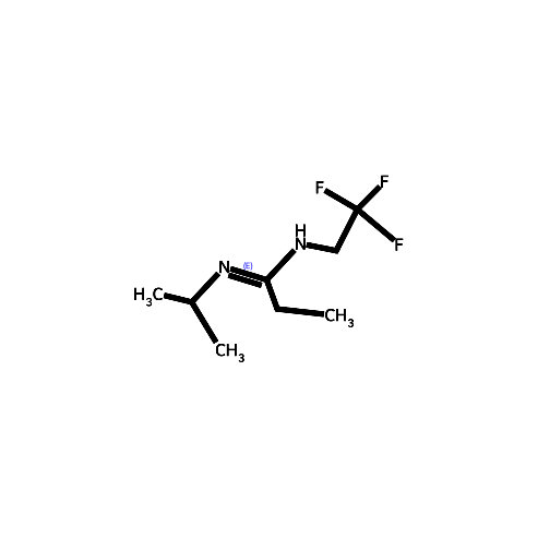 CC/C(=N\C(C)C)NCC(F)(F)F